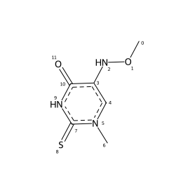 CONc1cn(C)c(=S)[nH]c1=O